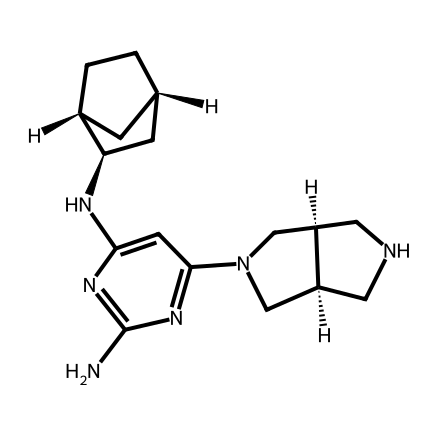 Nc1nc(N[C@@H]2C[C@H]3CC[C@@H]2C3)cc(N2C[C@H]3CNC[C@H]3C2)n1